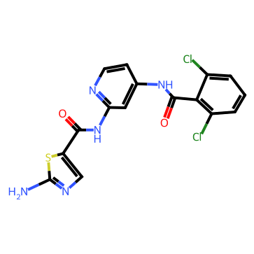 Nc1ncc(C(=O)Nc2cc(NC(=O)c3c(Cl)cccc3Cl)ccn2)s1